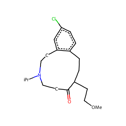 COCCC1CCc2ccc(Cl)cc2CCN(C(C)C)CCC1=O